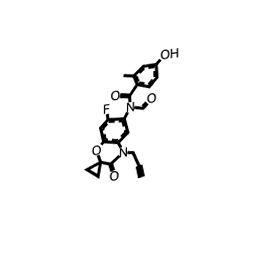 C#CCN1C(=O)C2(CC2)Oc2cc(F)c(N(C=O)C(=O)c3ccc(O)cc3C)cc21